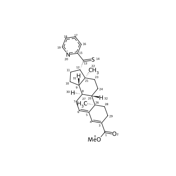 COC(=O)C1=CC2=CC[C@H]3[C@@H]4CC[C@H](C(=S)c5ccccn5)[C@@]4(C)CC[C@@H]3[C@@]2(C)CC1